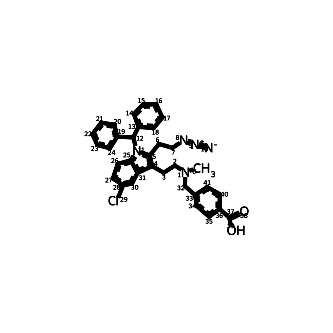 CN(CCc1c(CCN=[N+]=[N-])n(C(c2ccccc2)c2ccccc2)c2ccc(Cl)cc12)Cc1ccc(C(=O)O)cc1